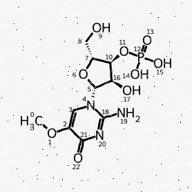 COc1cn([C@@H]2O[C@H](CO)[C@@H](OP(=O)(O)O)[C@H]2O)c(N)nc1=O